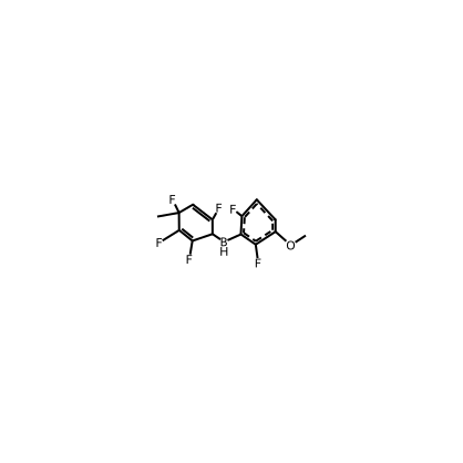 COc1ccc(F)c(BC2C(F)=CC(C)(F)C(F)=C2F)c1F